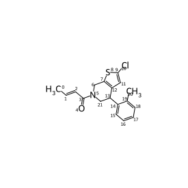 CC=CC(=O)N1Cc2sc(Cl)cc2C(c2ccccc2C)C1